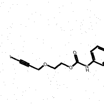 O=C(Nc1ccccc1)OCCOCC#CI